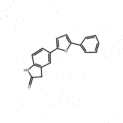 O=C1Cc2cc(-c3ccc(-c4ccccc4)o3)ccc2N1